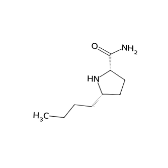 CCCC[C@H]1CC[C@@H](C(N)=O)N1